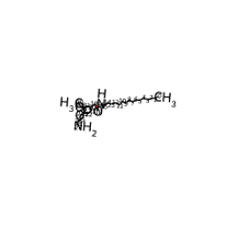 CCCCCCCCCCCCCCC=CNC(=O)Cc1ccc(OCCN)c(OC)c1